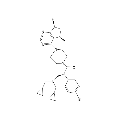 C[C@@H]1C[C@H](F)c2ncnc(N3CCN(C(=O)[C@H](CN(CC4CC4)CC4CC4)c4ccc(Br)cc4)CC3)c21